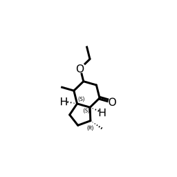 CCOC1CC(=O)[C@H]2[C@H](C)CC[C@H]2C1C